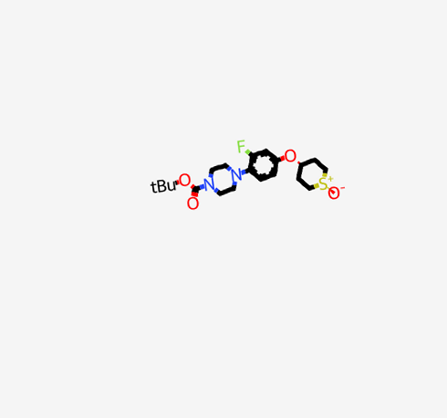 CC(C)(C)OC(=O)N1CCN(c2ccc(O[C@H]3CC[S@+]([O-])CC3)cc2F)CC1